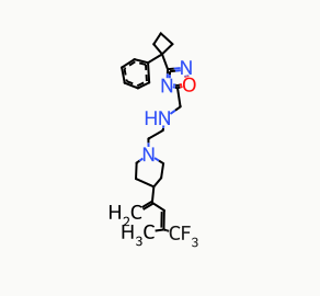 C=C(C=C(C)C(F)(F)F)C1CCN(CCNCc2nc(C3(c4ccccc4)CCC3)no2)CC1